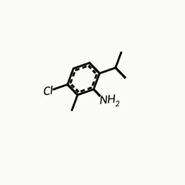 Cc1c(Cl)ccc(C(C)C)c1N